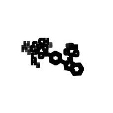 CC(C)(C)OC(=O)n1c(-c2ccc(B3OC(C)(C)C(C)(C)O3)cc2)cc2ccccc21